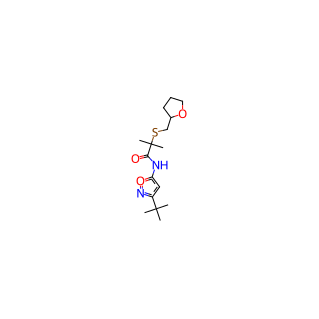 CC(C)(SCC1CCCO1)C(=O)Nc1cc(C(C)(C)C)no1